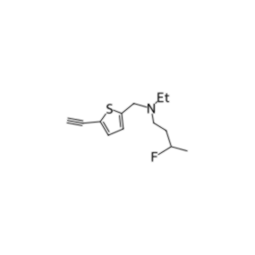 C#Cc1ccc(CN(CC)CCC(C)F)s1